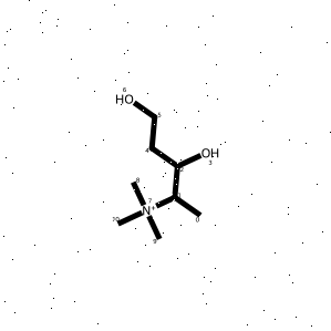 CC(C(O)CCO)[N+](C)(C)C